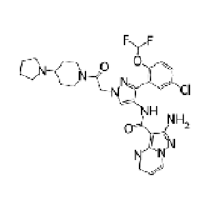 Nc1nn2cccnc2c1C(=O)Nc1cn(CC(=O)N2CCC(N3CCCC3)CC2)nc1-c1cc(Cl)ccc1OC(F)F